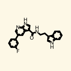 O=C(NCCc1c[nH]c2ccccc12)c1c[nH]c2ncc(-c3cccc(F)c3)cc12